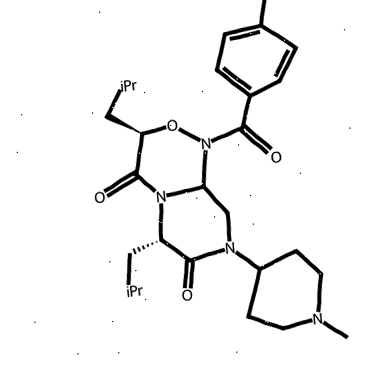 CC(C)C[C@H]1ON(C(=O)c2ccc(C#N)cc2)C2CN(C3CCN(C)CC3)C(=O)[C@H](CC(C)C)N2C1=O